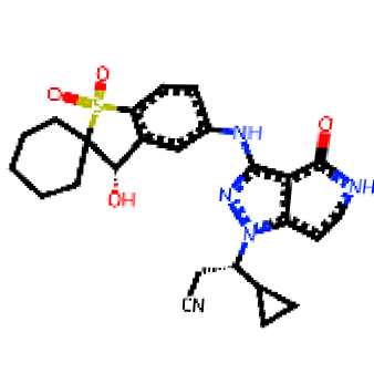 N#CC[C@@H](C1CC1)n1nc(Nc2ccc3c(c2)[C@H](O)C2(CCCCC2)S3(=O)=O)c2c(=O)[nH]ccc21